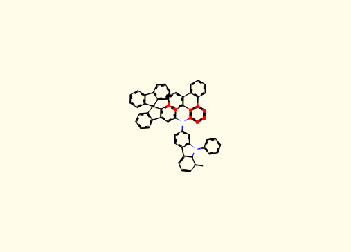 CC1C=CC=C2c3ccc(N(c4ccc5c(c4)-c4ccccc4C54c5ccccc5-c5ccccc54)c4ccccc4-c4ccccc4-c4ccccc4-c4ccccc4)cc3N(c3ccccc3)C21